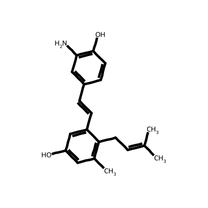 CC(C)=CCc1c(C)cc(O)cc1/C=C/c1ccc(O)c(N)c1